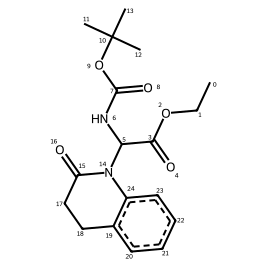 CCOC(=O)C(NC(=O)OC(C)(C)C)N1C(=O)CCc2ccccc21